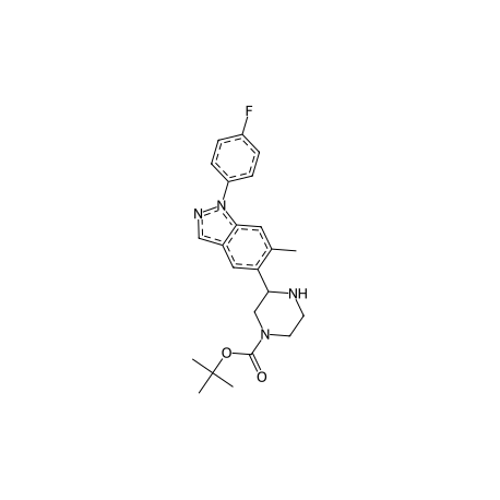 Cc1cc2c(cnn2-c2ccc(F)cc2)cc1C1CN(C(=O)OC(C)(C)C)CCN1